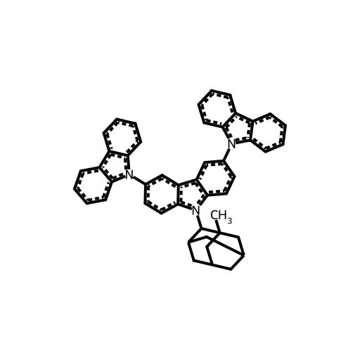 CC12CC3CC(CC(C3)C1n1c3ccc(-n4c5ccccc5c5ccccc54)cc3c3cc(-n4c5ccccc5c5ccccc54)ccc31)C2